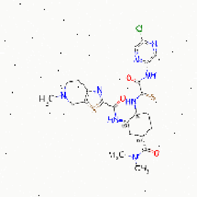 CN1CCc2nc(C(=O)N[C@@H]3C[C@@H](C(=O)N(C)C)CC[C@@H]3NC(=S)C(=O)Nc3cnc(Cl)cn3)sc2C1